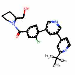 CC(C)(C)c1cc(-c2cncc(-c3ccc(C(=O)N4CCCC4CO)cc3Cl)c2)ccn1